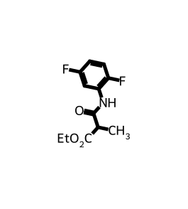 CCOC(=O)C(C)C(=O)Nc1cc(F)ccc1F